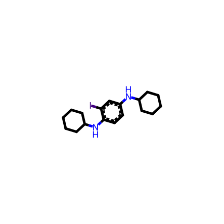 Ic1cc(NC2CCCCC2)ccc1NC1CCCCC1